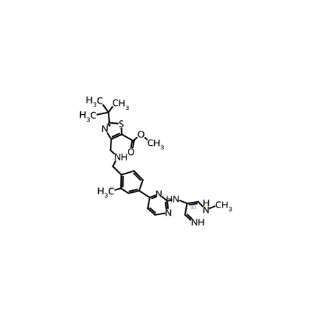 CN/C=C(\C=N)Nc1nccc(-c2ccc(CNCc3nc(C(C)(C)C)sc3C(=O)OC)c(C)c2)n1